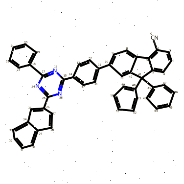 N#Cc1cccc2c1-c1ccc(-c3ccc(-c4nc(-c5ccccc5)nc(-c5ccc6ccccc6c5)n4)cc3)cc1C2(c1ccccc1)c1ccccc1